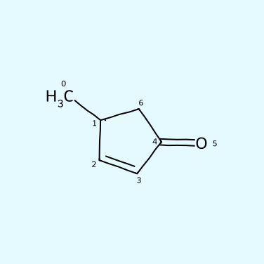 C[C]1C=CC(=O)C1